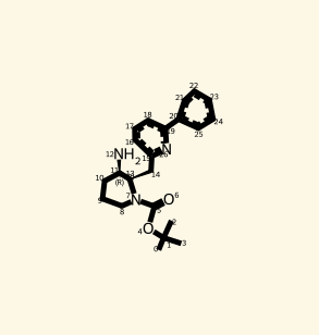 CC(C)(C)OC(=O)N1CCC[C@@H](N)[C@H]1Cc1cccc(-c2ccccc2)n1